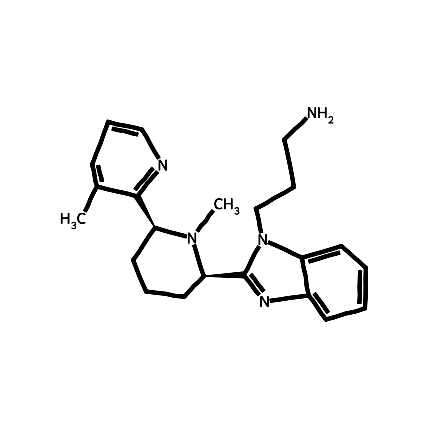 Cc1cccnc1[C@@H]1CCC[C@H](c2nc3ccccc3n2CCCN)N1C